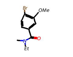 CCN(C)C(=O)c1ccc(Br)c(OC)c1